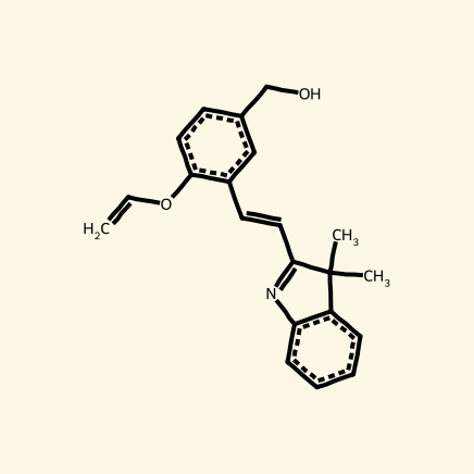 C=COc1ccc(CO)cc1/C=C/C1=Nc2ccccc2C1(C)C